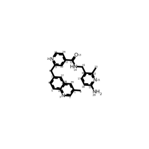 Cc1cnc2ccc(Cc3cc(C(=O)NCc4ccc(N)nc4C)ccn3)cc2c1